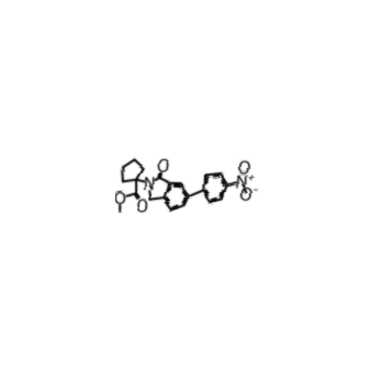 COC(=O)C1(N2Cc3ccc(-c4ccc([N+](=O)[O-])cc4)cc3C2=O)CCCC1